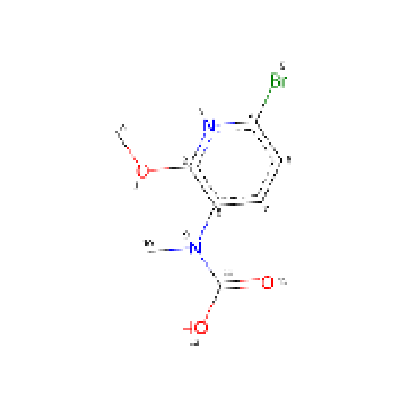 COc1nc(Br)ccc1N(C)C(=O)O